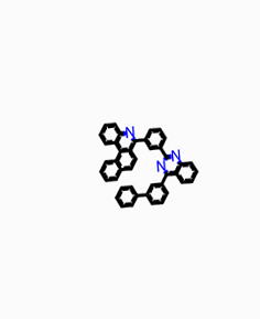 c1ccc(-c2cccc(-c3nc(-c4cccc(-c5nc6ccccc6c6c5ccc5ccccc56)c4)nc4ccccc34)c2)cc1